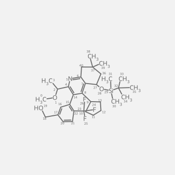 COC(C)c1nc2c(c(C3CCCC3)c1-c1cc(CO)ccc1C(F)(F)F)C(O[Si](C)(C)C(C)(C)C)CC(C)(C)C2